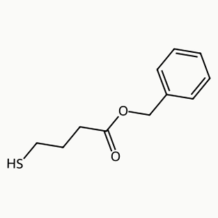 O=C(CCCS)OCc1ccccc1